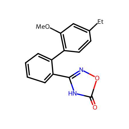 CCc1ccc(-c2ccccc2-c2noc(=O)[nH]2)c(OC)c1